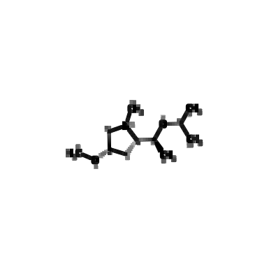 CO[C@H]1C[C@@H]([C@H](C)OC(C)C)N(C)C1